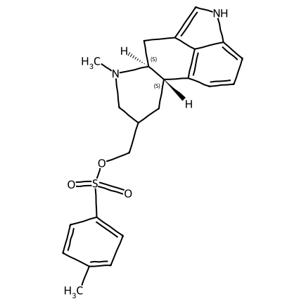 Cc1ccc(S(=O)(=O)OCC2C[C@H]3c4cccc5[nH]cc(c45)C[C@@H]3N(C)C2)cc1